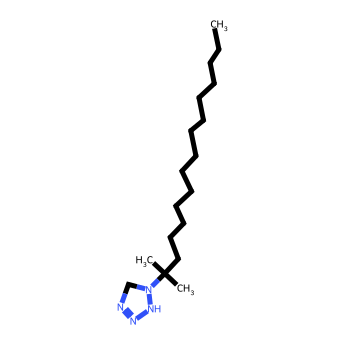 CCCCCCCCCCCCCCC(C)(C)N1CN=NN1